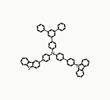 c1ccc(-c2cc(-c3ccccc3)cc(-c3ccc(N(c4ccc(-c5ccc(-n6c7ccccc7c7ccccc76)cc5)cc4)c4ccc(-c5ccc6sc7ccccc7c6c5)cc4)cc3)c2)cc1